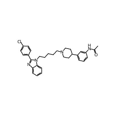 CC(=O)Nc1cccc(C2CCN(CCCCCn3c(-c4ccc(Cl)cc4)nc4ccccc43)CC2)c1